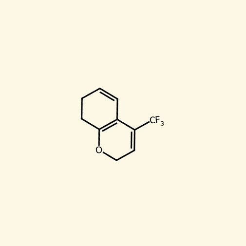 FC(F)(F)C1=CCOC2=C1C=CCC2